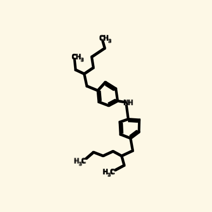 CCCCC(CC)Cc1ccc(Nc2ccc(CC(CC)CCCC)cc2)cc1